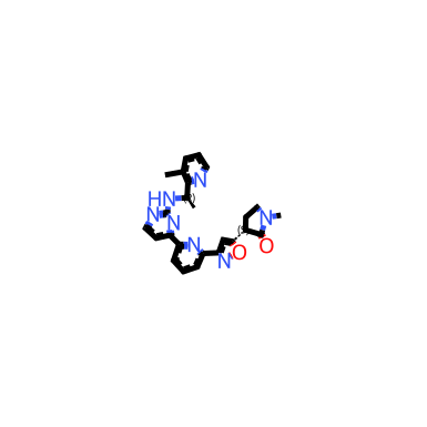 Cc1cccnc1[C@@H](C)Nc1nccc(-c2cccc(-c3cc([C@@H]4CCN(C)C4=O)on3)n2)n1